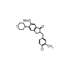 COc1cc2c(cc1N1CCOCC1)CC(Cc1ccc(Cl)c(C)c1)C2=O